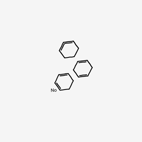 C1=CCC=CC1.C1=CCCC=C1.C1=CCCCC=1.[No]